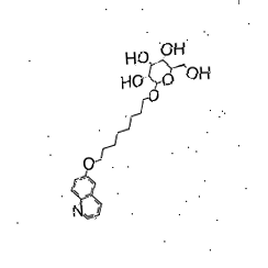 OC[C@H]1OC(OCCCCCCCCOc2ccc3ncccc3c2)[C@H](O)[C@@H](O)[C@@H]1O